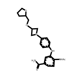 CC(=O)Nc1ccc(C(N)=O)cc1Nc1ccc(N2CC(OCC3CCCO3)C2)cc1